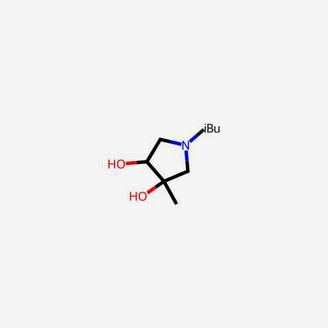 CCC(C)N1CC(O)C(C)(O)C1